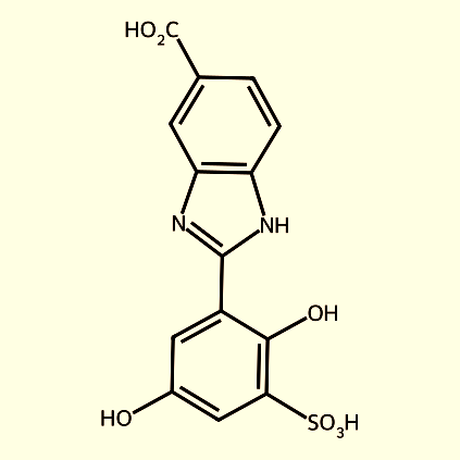 O=C(O)c1ccc2[nH]c(-c3cc(O)cc(S(=O)(=O)O)c3O)nc2c1